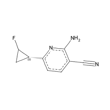 N#Cc1ccc([C@@H]2CC2F)nc1N